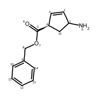 NC1C=C[C@H](C(=O)OCc2ccccc2)C1